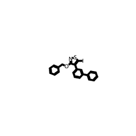 Ic1snc(OCc2ccccc2)c1-c1cccc(-c2ccccc2)c1